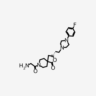 NCC(=O)N1CCC2(CC1)C[C@H](CCN1CCN(c3ccc(F)cc3)CC1)OC2=O